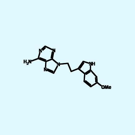 COc1ccc2c(CCn3cnc4c(N)ncnc43)c[nH]c2c1